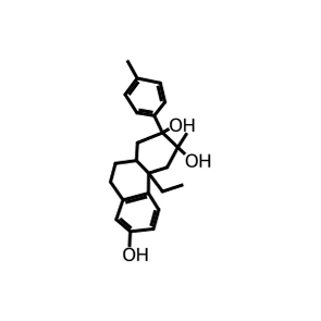 CCC12CC(C)(O)C(O)(c3ccc(C)cc3)CC1CCc1cc(O)ccc12